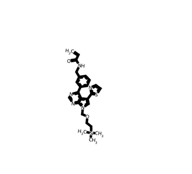 C=CC(=O)NCc1cccc(-c2ncnc3c2c(-c2nccs2)cn3COCC[Si](C)(C)C)c1